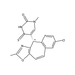 Cc1nc2c(o1)C=Cc1cc(Cl)ccc1[C@H]2c1cn(C)c(=O)[nH]c1=S